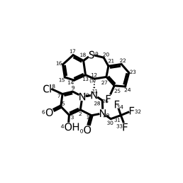 O=C1c2c(O)c(=O)c(Cl)cn2N([C@@H]2c3ccccc3SCc3cccc(F)c32)CN1CC(F)(F)F